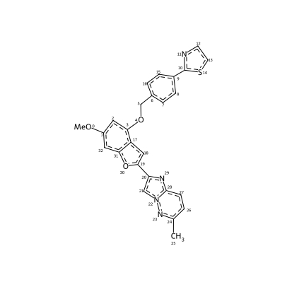 COc1cc(OCc2ccc(-c3nccs3)cc2)c2cc(-c3cn4nc(C)ccc4n3)oc2c1